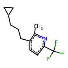 Cc1nc(C(F)(F)F)ccc1CCCC1CC1